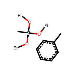 CCO[Si](C)(OCC)OCC.Cc1ccccc1